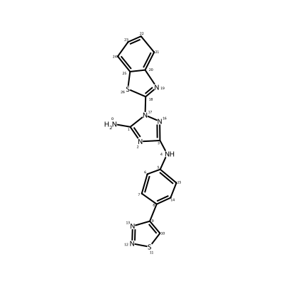 Nc1nc(Nc2ccc(-c3csnn3)cc2)nn1-c1nc2ccccc2s1